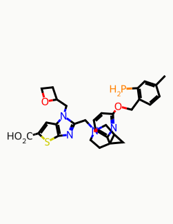 Cc1ccc(COc2cccc(C34CCN(Cc5nc6sc(C(=O)O)cc6n5CC5CCO5)CC3C4)n2)c(P)c1